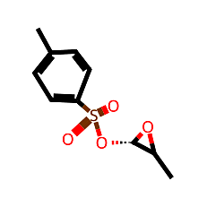 Cc1ccc(S(=O)(=O)O[C@@H]2OC2C)cc1